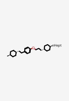 CCCCCCC[C@H]1CC[C@H](CCCOc2ccc(CC[C@H]3CC[C@H](C)CC3)cc2)CC1